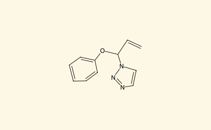 C=CC(Oc1ccccc1)n1ccnn1